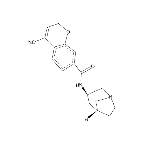 N#CC1=CCOc2cc(C(=O)N[C@@H]3C[C@H]4CCN(C4)C3)ccc21